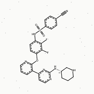 N#Cc1ccc(S(=O)(=O)Nc2ccc(Oc3ncccc3-c3ccnc(N[C@H]4CCCNC4)n3)c(F)c2F)cc1